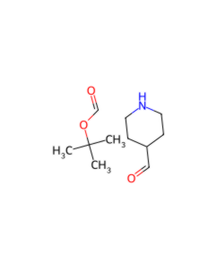 CC(C)(C)OC=O.O=CC1CCNCC1